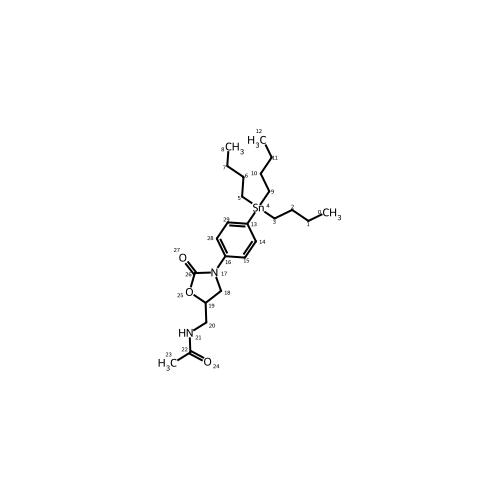 CCC[CH2][Sn]([CH2]CCC)([CH2]CCC)[c]1ccc(N2CC(CNC(C)=O)OC2=O)cc1